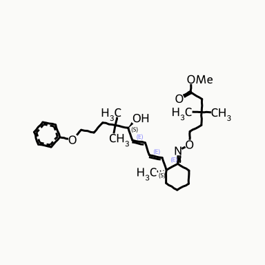 COC(=O)CC(C)(C)CCO/N=C1\CCCC[C@@]1(C)/C=C/C=C/[C@H](O)C(C)(C)CCCOc1ccccc1